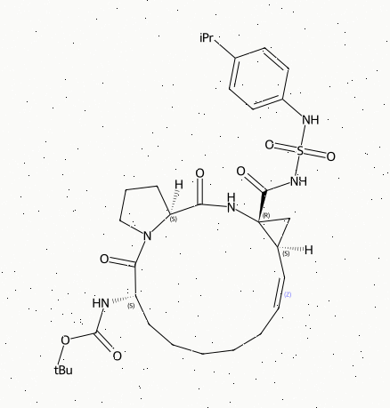 CC(C)c1ccc(NS(=O)(=O)NC(=O)[C@@]23C[C@H]2/C=C\CCCCC[C@H](NC(=O)OC(C)(C)C)C(=O)N2CCC[C@H]2C(=O)N3)cc1